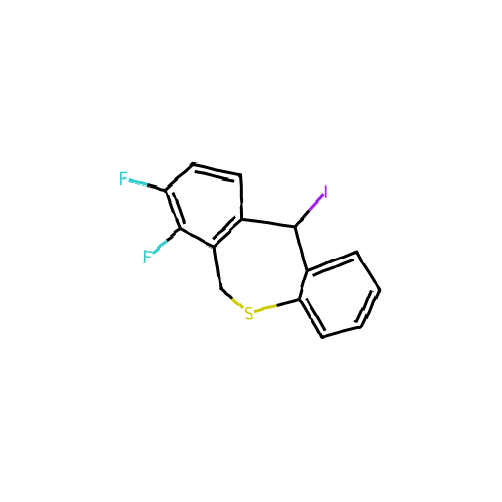 Fc1ccc2c(c1F)CSc1ccccc1C2I